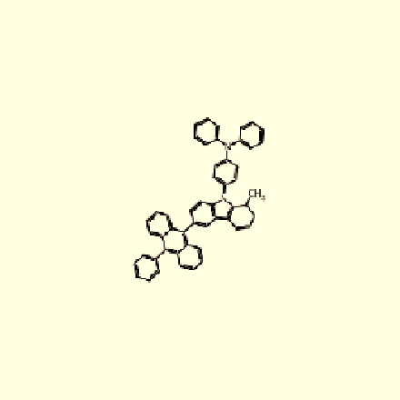 CC1CC=Cc2c1n(-c1ccc(N(c3ccccc3)c3ccccc3)cc1)c1ccc(-c3c4ccccc4c(-c4ccccc4)c4ccccc34)cc21